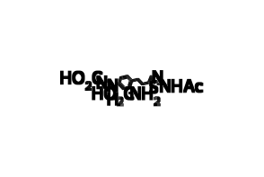 CC(=O)Nc1ncc(CCc2ccc(NC=NC(=O)O)cc2)s1.NC(=O)O